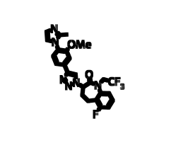 COc1cc(-c2cn(C3CCc4c(F)cccc4N(CC(F)(F)F)C3=O)nn2)ccc1-n1ccnc1C